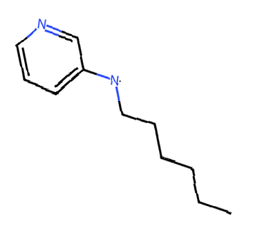 CCCCCC[N]c1cccnc1